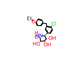 CCOc1ccc(Cc2cc([C@@H]3N[C@H](O)[C@@H](O)[C@H](O)[C@H]3O)ccc2Cl)cc1